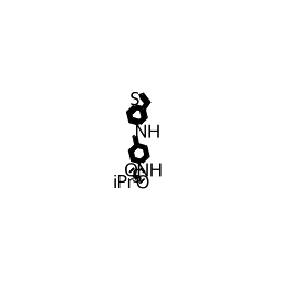 CC(C)S(=O)(=O)NC1CCC(CNc2ccc3sccc3c2)CC1